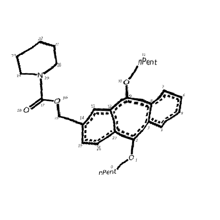 CCCCCOc1c2ccccc2c(OCCCCC)c2cc(COC(=O)N3CCCCC3)ccc12